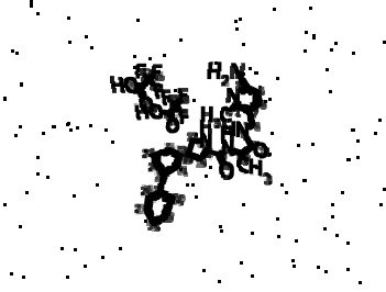 Cc1nc(N)ccc1CNC(=O)[C@@H](C)NC(=O)[C@H]1C[C@H](c2cccc(-c3ccccc3)c2)CN1.O=C(O)C(F)(F)F.O=C(O)C(F)(F)F